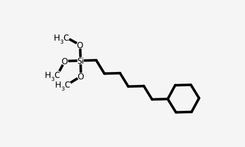 CO[Si](CCCCCCC1CCCCC1)(OC)OC